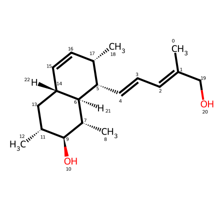 C/C(=C\C=C\[C@@H]1[C@H]2[C@H](C)[C@@H](O)[C@H](C)C[C@@H]2C=C[C@@H]1C)CO